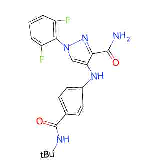 CC(C)(C)NC(=O)c1ccc(Nc2cn(-c3c(F)cccc3F)nc2C(N)=O)cc1